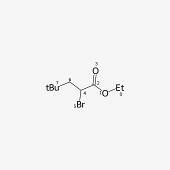 CCOC(=O)C(Br)CC(C)(C)C